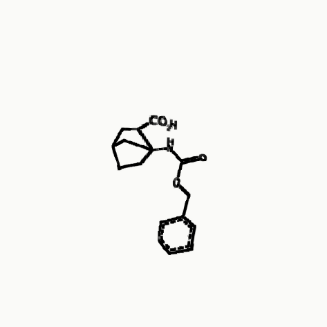 O=C(NC12CCC(CC1C(=O)O)C2)OCc1ccccc1